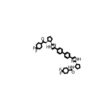 O=C(C[C@H]1CCC[C@H]1c1nc(-c2ccc(-c3ccc(-c4c[nH]c([C@@H]5CCC[C@@H]5NC(=O)C5CCC(F)(F)CC5)n4)cc3)cc2)c[nH]1)C1CCC(F)(F)CC1